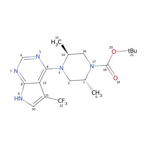 C[C@@H]1CN(c2ncnc3[nH]cc(C(F)(F)F)c23)[C@@H](C)CN1C(=O)OC(C)(C)C